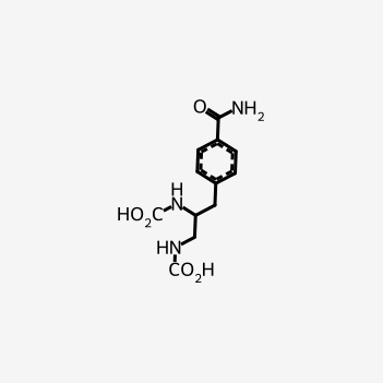 NC(=O)c1ccc(CC(CNC(=O)O)NC(=O)O)cc1